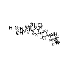 CC(=O)NCC1CN(c2ccc(-c3ccc(C(N)Cn4ccnc4)cc3)c(F)c2)C(=O)O1.Cl